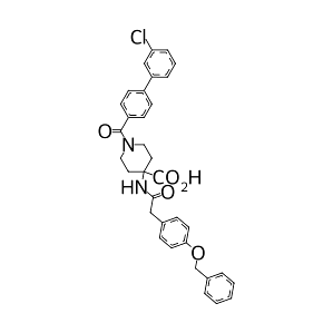 O=C(Cc1ccc(OCc2ccccc2)cc1)NC1(C(=O)O)CCN(C(=O)c2ccc(-c3cccc(Cl)c3)cc2)CC1